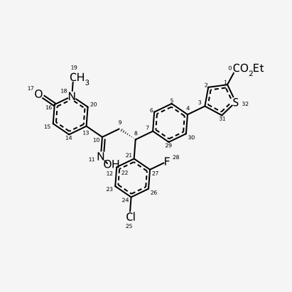 CCOC(=O)c1cc(-c2ccc([C@@H](C/C(=N\O)c3ccc(=O)n(C)c3)c3ccc(Cl)cc3F)cc2)cs1